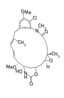 COc1cc2cc(c1Cl)N(C)C(=O)CC[C@]1(C)O[C@H]1CC1C[C@@](O)(NC(=O)O1)[C@H](OC)/C=C/C=C(\C)C2